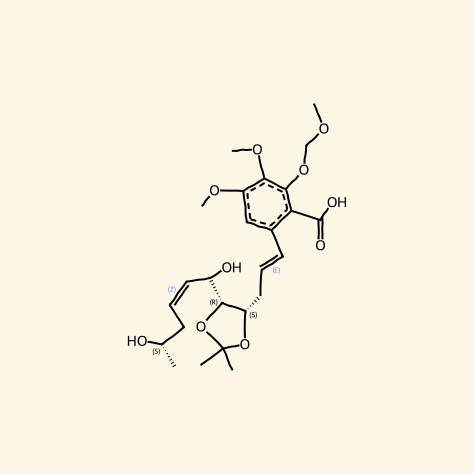 COCOc1c(OC)c(OC)cc(/C=C/C[C@@H]2OC(C)(C)O[C@@H]2C(O)/C=C\C[C@H](C)O)c1C(=O)O